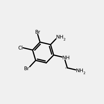 N[C]Nc1cc(Br)c(Cl)c(Br)c1N